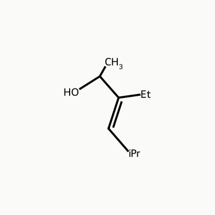 CC/C(=C\C(C)C)C(C)O